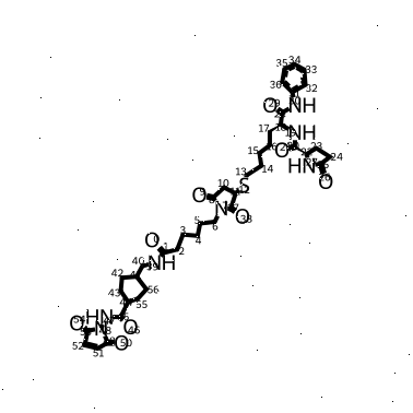 O=C(CCCCCN1C(=O)CC(SCCCCC[C@H](NC(=O)[C@H]2CCC(=O)N2)C(=O)Nc2ccccc2)C1=O)NCC1CCC(C(=O)NN2C(=O)C=CC2=O)CC1